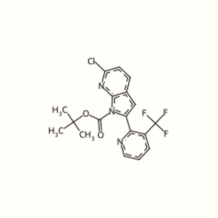 CC(C)(C)OC(=O)n1c(-c2ncccc2C(F)(F)F)cc2ccc(Cl)nc21